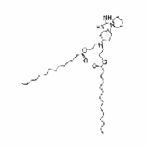 CCCCCCCCCCCCCC(=O)OCCN(CCOC(=O)CCCCCCCCCCCCC)C1CCN([N+]2(C(=N)N)CCCCC2)CC1